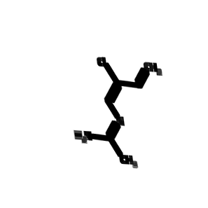 C=C/C(Cl)=C\N=C(\C)N